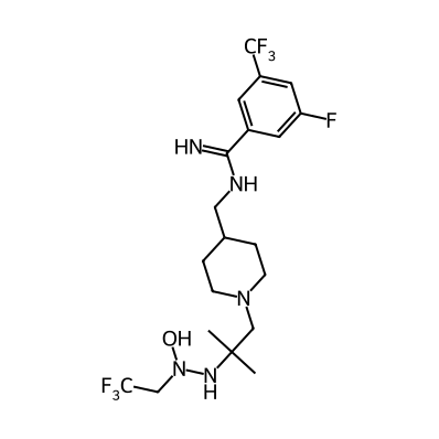 CC(C)(CN1CCC(CNC(=N)c2cc(F)cc(C(F)(F)F)c2)CC1)NN(O)CC(F)(F)F